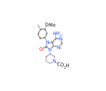 COc1cc(-n2c(=O)n(C3CCCN(C(=O)O)C3)c3ncnc(N)c32)ccc1C